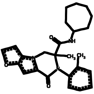 Cc1ccccc1N1C(=O)c2cc3occc3n2CC1(C)C(=O)NC1CCCCCC1